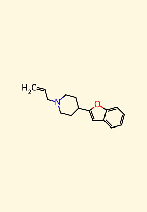 C=CCN1CCC(c2cc3ccccc3o2)CC1